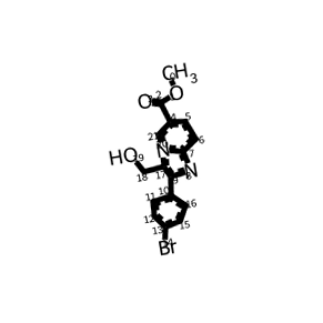 COC(=O)c1ccc2nc(-c3ccc(Br)cc3)c(CO)n2c1